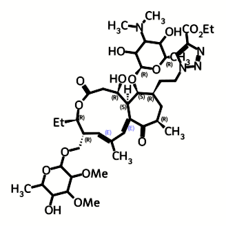 CCOC(=O)c1cn(CC[C@H]2C[C@@H](C)C(=O)/C3=C/C(C)=C/[C@H](COC4OC(C)C(O)C(OC)C4OC)[C@@H](CC)OC(=O)C[C@@H](O)[C@H]3[C@H]2O[C@@H]2O[C@H](C)C(O)C(N(C)C)C2O)nn1